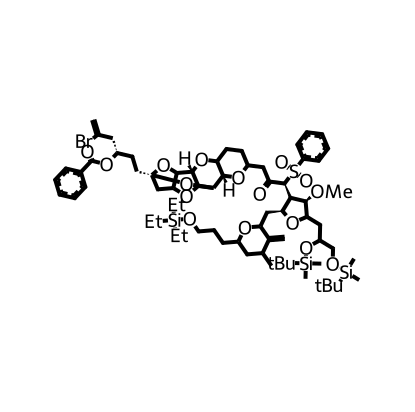 C=C(Br)C[C@H](CC[C@@]12CC3OC4C(O1)[C@H]1OC(CC(=O)[C@H](C5[C@@H](OC)C(CC(CO[Si](C)(C)C(C)(C)C)O[Si](C)(C)C(C)(C)C)O[C@H]5CC5OC(CCCO[Si](CC)(CC)CC)CC(C)C5=C)S(=O)(=O)c5ccccc5)CCC1O[C@H]4C3O2)OC(=O)c1ccccc1